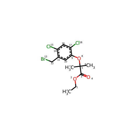 CCOC(=O)C(C)(C)Oc1cc(CBr)c(Cl)cc1Cl